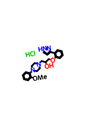 COc1ccccc1N1CCN(CC(O)COc2ccccc2-c2cc[nH]n2)CC1.Cl